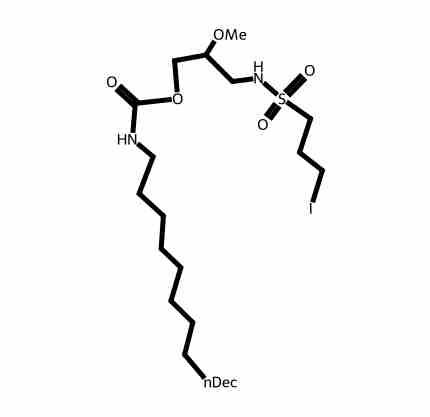 CCCCCCCCCCCCCCCCCCNC(=O)OCC(CNS(=O)(=O)CCCI)OC